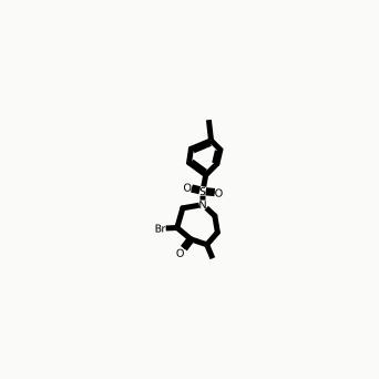 Cc1ccc(S(=O)(=O)N2CCC(C)C(=O)C(Br)C2)cc1